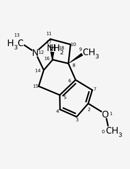 COc1ccc2c(c1)[C@@]1(C)CCN(C)C(C2)[C@@H]1N